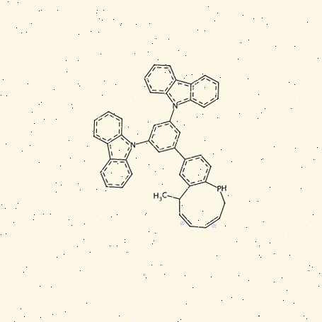 CC1/C=C\C=C/CPc2ccc(-c3cc(-n4c5ccccc5c5ccccc54)cc(-n4c5ccccc5c5ccccc54)c3)cc21